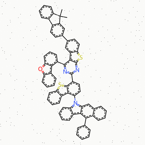 CC1(C)c2ccccc2-c2ccc(-c3ccc4sc5nc(-c6ccc(-n7c8ccccc8c8c(-c9ccccc9)c9ccccc9cc87)c7c6sc6ccccc67)nc(-c6cccc7oc8ccccc8c67)c5c4c3)cc21